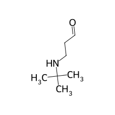 CC(C)(C)NCCC=O